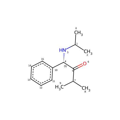 CC(C)N[C@H](C(=O)C(C)C)c1ccccc1